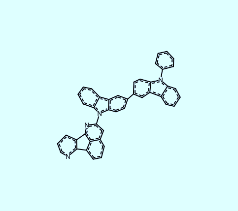 c1ccc(-n2c3ccccc3c3cc(-c4ccc5c(c4)c4ccccc4n5-c4cc5cccc6c5c(n4)-c4cccnc4-6)ccc32)cc1